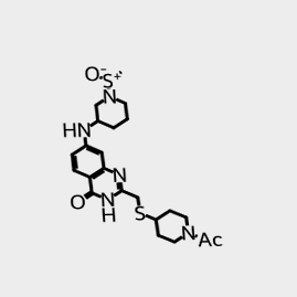 CC(=O)N1CCC(SCc2nc3cc(NC4CCCN([S+](C)[O-])C4)ccc3c(=O)[nH]2)CC1